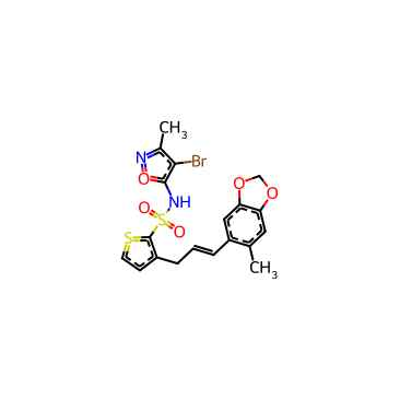 Cc1cc2c(cc1C=CCc1ccsc1S(=O)(=O)Nc1onc(C)c1Br)OCO2